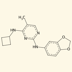 Cc1cnc(Nc2ccc3c(c2)OCO3)nc1NC1CCC1